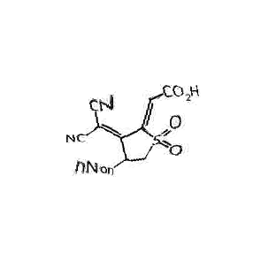 CCCCCCCCCC1CS(=O)(=O)/C(=C\C(=O)O)C1=C(C#N)C#N